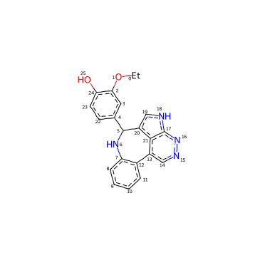 CCOc1cc(C2Nc3ccccc3-c3cnnc4[nH]cc2c34)ccc1O